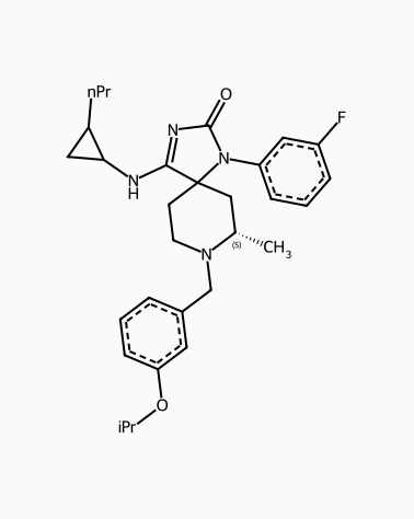 CCCC1CC1NC1=NC(=O)N(c2cccc(F)c2)C12CCN(Cc1cccc(OC(C)C)c1)[C@@H](C)C2